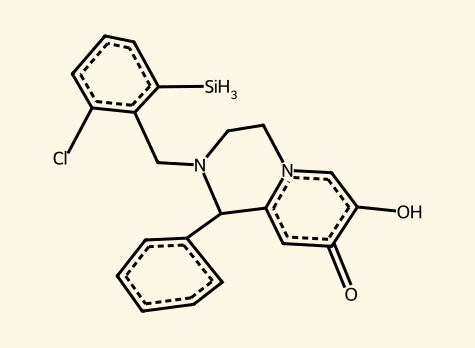 O=c1cc2n(cc1O)CCN(Cc1c([SiH3])cccc1Cl)C2c1ccccc1